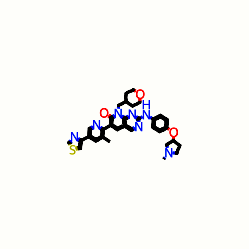 Cc1cc(-c2cscn2)cnc1-c1cc2cnc(Nc3ccc(OC4CCN(C)C4)cc3)nc2n(CC2CCOCC2)c1=O